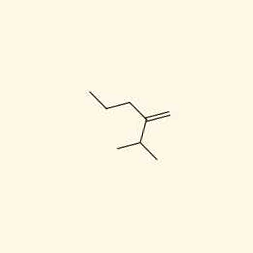 C=C(CCC)C(C)C